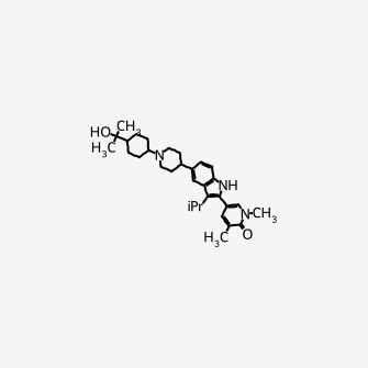 Cc1cc(-c2[nH]c3ccc(C4CCN(C5CCC(C(C)(C)O)CC5)CC4)cc3c2C(C)C)cn(C)c1=O